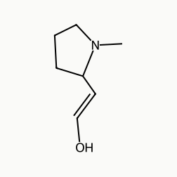 CN1CCCC1/C=C/O